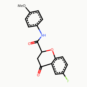 COc1ccc(NC(=O)C2CC(=O)c3cc(F)ccc3O2)cc1